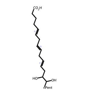 CCCCCC(O)C(O)C/C=C/C/C=C/C/C=C/CCCC(=O)O